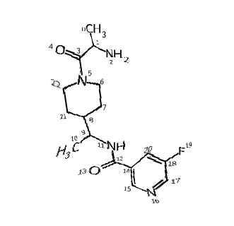 CC(N)C(=O)N1CCC(C(C)NC(=O)c2cncc(F)c2)CC1